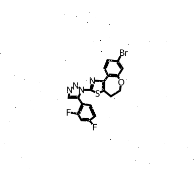 Fc1ccc(-c2cnnn2-c2nc3c(s2)CCOc2cc(Br)ccc2-3)c(F)c1